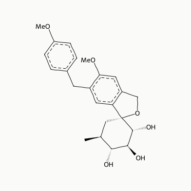 COc1ccc(Cc2cc3c(cc2OC)CO[C@]32C[C@H](C)[C@@H](O)[C@H](O)[C@H]2O)cc1